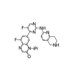 CC(C)n1c(=O)cnc2c(F)cc(-c3nc(Nc4ccc5c(n4)CCNC5)ncc3F)cc21